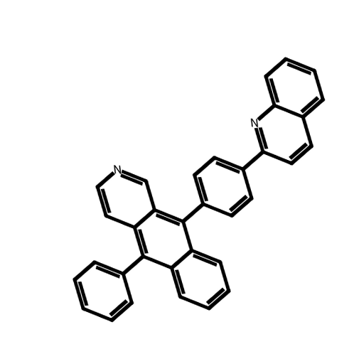 c1ccc(-c2c3ccccc3c(-c3ccc(-c4ccc5ccccc5n4)cc3)c3cnccc23)cc1